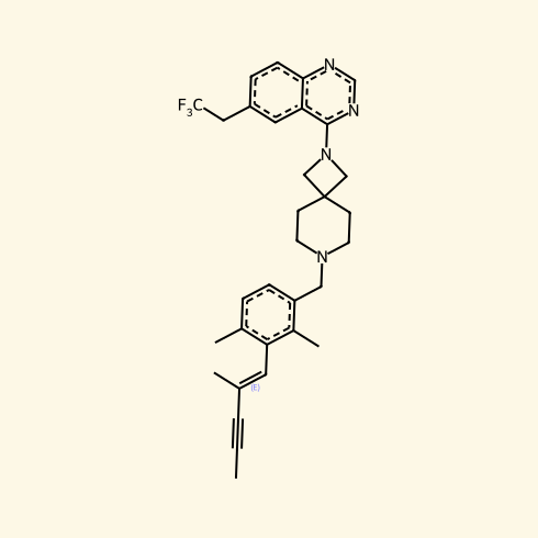 CC#C/C(C)=C/c1c(C)ccc(CN2CCC3(CC2)CN(c2ncnc4ccc(CC(F)(F)F)cc24)C3)c1C